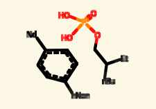 CCCCC(CC)COP(=O)(O)O.CCCCCCCCCc1cc[c]([Nd])cc1